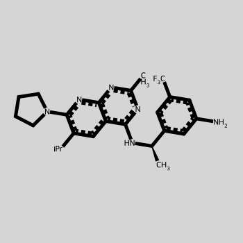 Cc1nc(N[C@H](C)c2cc(N)cc(C(F)(F)F)c2)c2cc(C(C)C)c(N3CCCC3)nc2n1